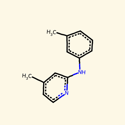 Cc1cccc(Nc2cc(C)ccn2)c1